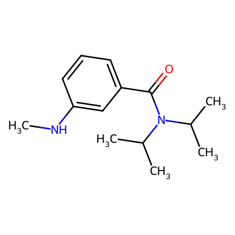 CNc1cccc(C(=O)N(C(C)C)C(C)C)c1